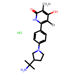 CCc1c(-c2ccc(N3CCC(C(C)(C)N)C3)cc2)[nH]c(=O)c(C(=O)O)c1O.Cl